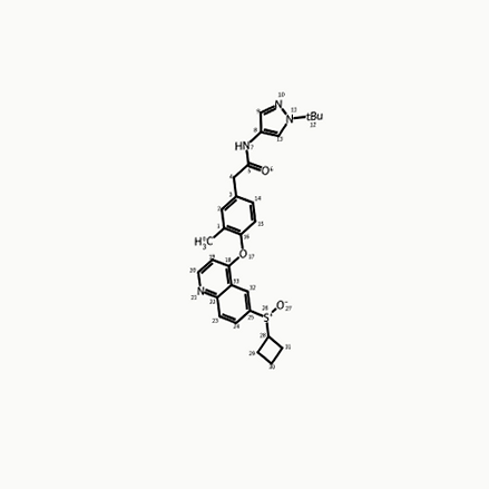 Cc1cc(CC(=O)Nc2cnn(C(C)(C)C)c2)ccc1Oc1ccnc2ccc([S+]([O-])C3CCC3)cc12